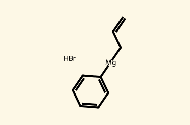 Br.C=C[CH2][Mg][c]1ccccc1